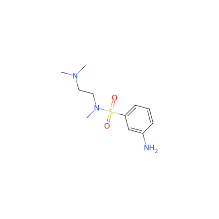 CN(C)CCN(C)S(=O)(=O)c1cccc(N)c1